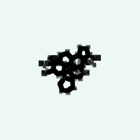 CC1(C)C(Br)CC(N2CCCCC2)(N2CCNCC2)[C@]2(C)C3CC[C@@]4(C)C(CC[C@@H]4O)C3CC[C@@]12O